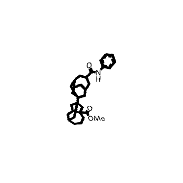 COC(=O)C12CCCC3CC1CC(C14CC5CC(C(=O)Nc6ccccc6)CC(C1)C(C5)C4)(C3)C2